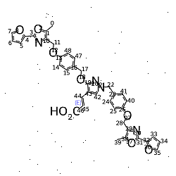 Cc1oc(-c2ccco2)nc1COc1ccc(COc2nn(Cc3ccc(OCc4nc(-c5ccco5)oc4C)cc3)cc2/C=C/C(=O)O)cc1